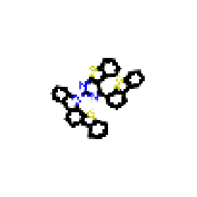 c1ccc2c(c1)sc1c(-c3nc(-n4c5ccccc5c5ccc6c7ccccc7sc6c54)nc4sc5ccccc5c34)cccc12